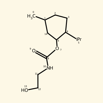 CC1CCC(C(C)C)C(OC(=O)NCCO)C1